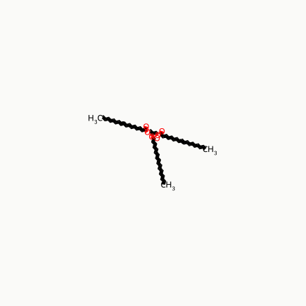 CCCCCCCCC=CCCCCCCCC(=O)OCC(COC(=O)CCCCCCCC=CCCCCCCCC)OC(=O)CCCCCCCCCCCCCCCCC